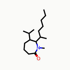 CCCCCC(C)C1C(C(C)C)CCCC(=O)N1C